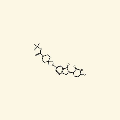 CC(C)(C)OC(=O)N1CCC2(CC1)CN(c1ccc3c(c1)C(=O)N(C1CCC(=O)NC1=O)C3)C2